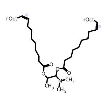 CCCCCCCC/C=C\CCCCCCCC(=O)OC(C)C(OC(=O)CCCCCCC/C=C\CCCCCCCC)N(C)C